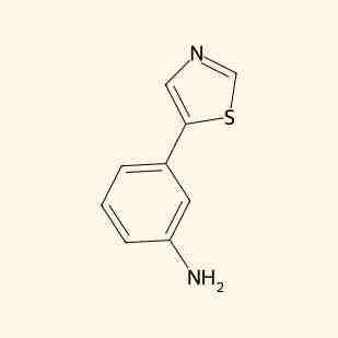 Nc1cccc(-c2cncs2)c1